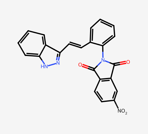 O=C1c2ccc([N+](=O)[O-])cc2C(=O)N1c1ccccc1C=Cc1n[nH]c2ccccc12